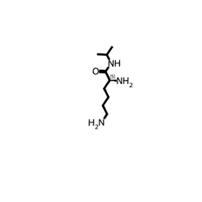 CC(C)NC(=O)[C@@H](N)CCCCN